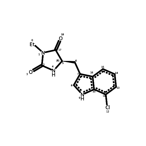 CCN1C(=O)N[C@H](Cc2c[nH]c3c(Cl)cccc23)C1=O